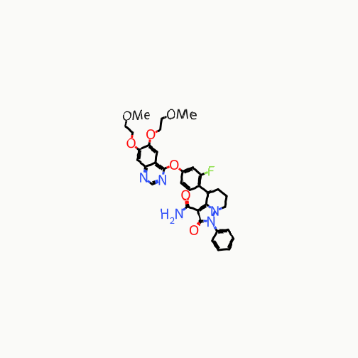 COCCOc1cc2ncnc(Oc3ccc(C4CCCn5c4c(C(N)=O)c(=O)n5-c4ccccc4)c(F)c3)c2cc1OCCOC